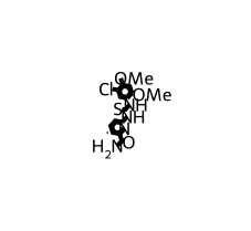 COc1cc(OC)c(NC(=S)Nc2cc[c]c(C(N)=O)n2)cc1Cl